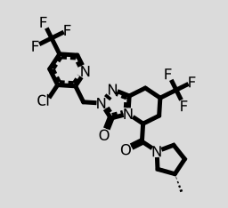 C[C@H]1CCN(C(=O)C2CC(C(F)(F)F)Cc3nn(Cc4ncc(C(F)(F)F)cc4Cl)c(=O)n32)C1